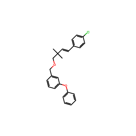 CC(C)(/C=C/c1ccc(Cl)cc1)COCc1cccc(Oc2ccccc2)c1